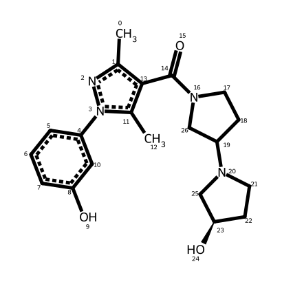 Cc1nn(-c2cccc(O)c2)c(C)c1C(=O)N1CCC(N2CC[C@@H](O)C2)C1